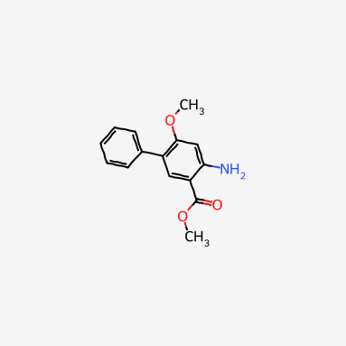 COC(=O)c1cc(-c2ccccc2)c(OC)cc1N